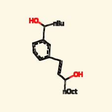 CCCCCCCCC(O)C=Cc1cccc(C(O)CCCC)c1